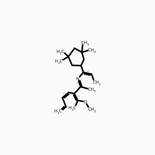 C=C\C=C/C(=C(\C)OC)C(/C)=N/C(=C\C)C1CC(C)(C)CC(C)(C)C1